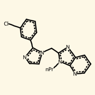 CCCn1c(Cn2ccnc2-c2cccc(Cl)c2)nc2cccnc21